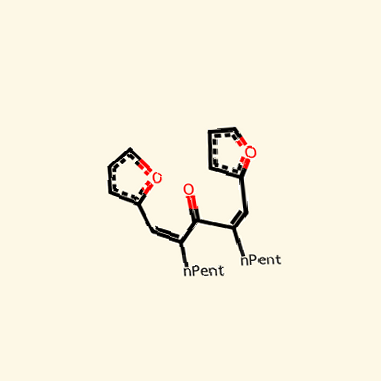 CCCCC/C(=C/c1ccco1)C(=O)/C(=C\c1ccco1)CCCCC